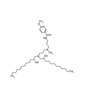 CCCCCCCCCCC(O)CN(CCCN(C)CCCNC(=O)c1ccc(OC)cc1)CC(O)CCCCCCCCCC